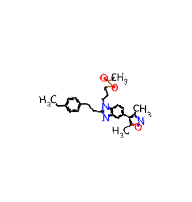 CCc1ccc(CCc2nc3cc(-c4c(C)noc4C)ccc3n2CCCS(C)(=O)=O)cc1